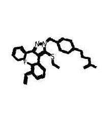 C=Cc1cccc(-c2c(C3=CC=CCC3)nn(CC3CCC(CCCC(=C)C)CC3)c2SCC)c1F